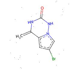 C=C1NC(=O)Nn2cc(Br)cc21